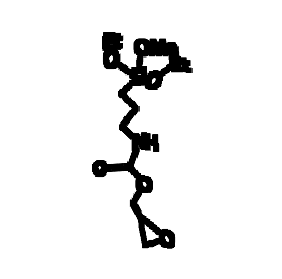 CCO[Si](CCCNC(=O)OCC1CO1)(OC)OCC